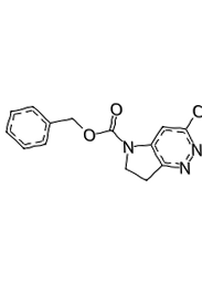 O=C(OCc1ccccc1)N1CCc2nnc(Cl)cc21